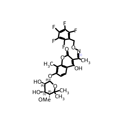 CO[C@@H]1[C@@H](O)[C@@H](O)[C@H](Oc2ccc3c(O)c(/C(C)=N\OCc4c(F)c(F)c(F)c(F)c4F)c(=O)oc3c2C)OC1(C)C